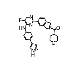 O=C(C1CCOCC1)N1Cc2ccc(-c3ncc(F)c(Nc4ccc(-c5cn[nH]c5)cc4)n3)cc2C1